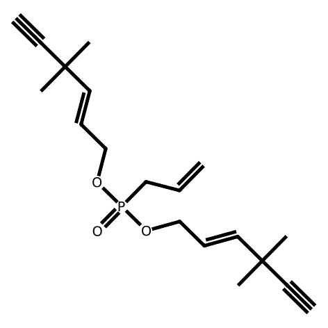 C#CC(C)(C)C=CCOP(=O)(CC=C)OCC=CC(C)(C)C#C